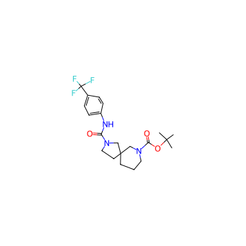 CC(C)(C)OC(=O)N1CCCC2(CCN(C(=O)Nc3ccc(C(F)(F)F)cc3)C2)C1